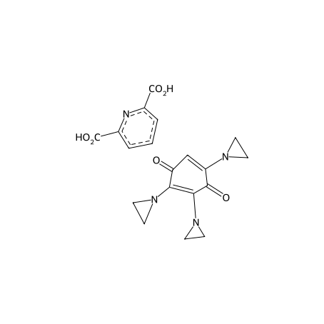 O=C(O)c1cccc(C(=O)O)n1.O=C1C=C(N2CC2)C(=O)C(N2CC2)=C1N1CC1